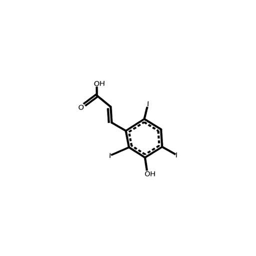 O=C(O)/C=C/c1c(I)cc(I)c(O)c1I